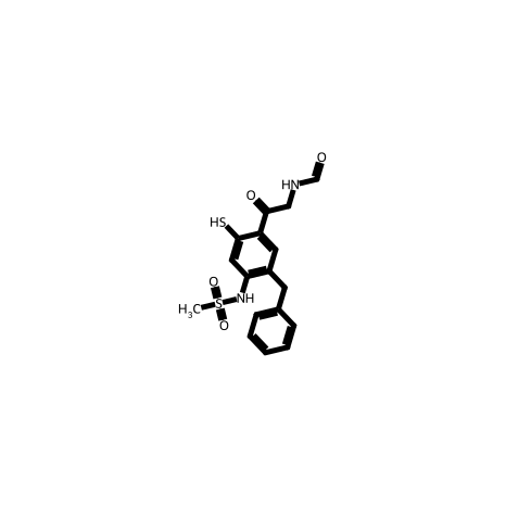 CS(=O)(=O)Nc1cc(S)c(C(=O)CNC=O)cc1Cc1ccccc1